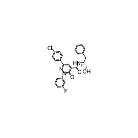 O=C(N[C@@H](CO)Cc1ccccc1)c1cc(-c2ccc(Cl)cc2)nn(-c2cccc(F)c2)c1=O